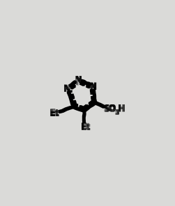 CCc1nnnc(S(=O)(=O)O)c1CC